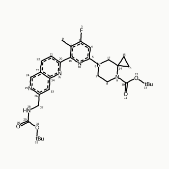 Cc1c(F)cc(N2CCN(C(=O)OC(C)(C)C)C3(CC3)C2)nc1-c1ccc2cnc(CNC(=O)OC(C)(C)C)cc2n1